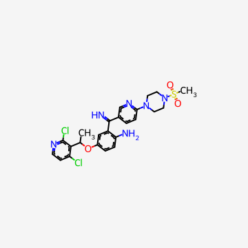 CC(Oc1ccc(N)c(C(=N)c2ccc(N3CCN(S(C)(=O)=O)CC3)nc2)c1)c1c(Cl)ccnc1Cl